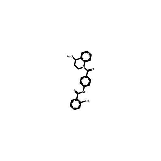 CC(=O)OC1CCN(C(=O)c2ccc(NC(=O)c3ccccc3C)cc2)c2ccccc21